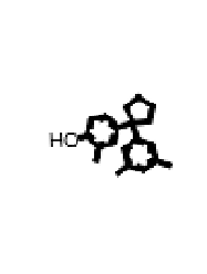 Cc1cc(C)cc(C2(c3ccc(O)c(C)c3)CCCC2)c1